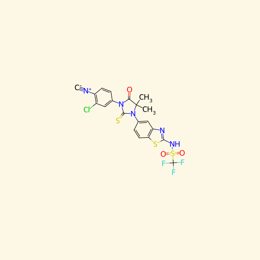 [C-]#[N+]c1ccc(N2C(=O)C(C)(C)N(c3ccc4sc(NS(=O)(=O)C(F)(F)F)nc4c3)C2=S)cc1Cl